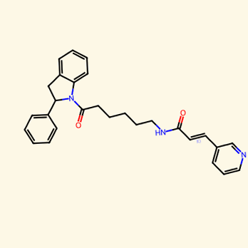 O=C(/C=C/c1cccnc1)NCCCCCC(=O)N1c2ccccc2CC1c1ccccc1